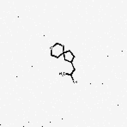 CC(C)CC1CCC2(CCOCC2)C1